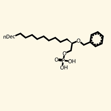 CCCCCCCCCCCCCCCCCCC[C@H](COP(=O)(O)O)OCc1ccccc1